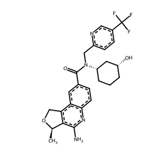 C[C@H]1OCc2c1c(N)nc1ccc(C(=O)N(Cc3ccc(C(F)(F)F)cn3)[C@H]3CCC[C@@H](O)C3)cc21